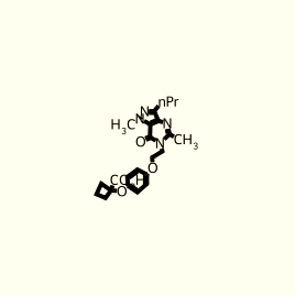 CCCc1nn(C)c2c(=O)n(CCOc3ccc(OC4(C(=O)O)CCC4)cc3)c(C)nc12